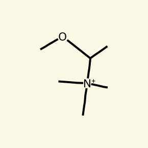 COC(C)[N+](C)(C)C